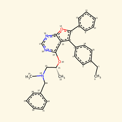 CCc1ccc(-c2c(-c3ccccc3)oc3ncnc(O[C@H](C)CN(C)Cc4ccccc4)c23)cc1